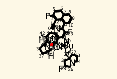 C#Cc1c(F)ccc2cccc(-c3nc4c5c(nc(OC[C@@]67CCCN6C[C@H](F)C7)nc5c3F)N3C[C@H]5CC[C@@H]([C@@H]3[C@@H](C)C4)N5C(=O)OC(C)(C)C)c12